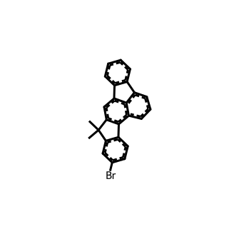 CC1(C)c2cc(Br)ccc2-c2c1cc1c3c(cccc23)-c2ccccc2-1